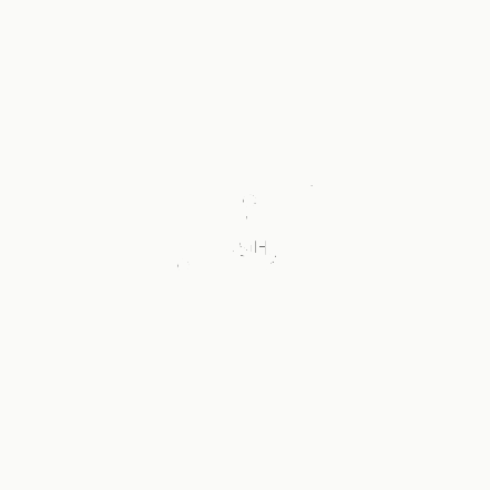 CC.CO[SiH2]OC